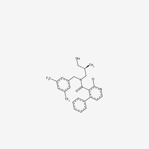 C[C@H](CO)CN(Cc1cc(C(F)(F)F)cc(C(F)(F)F)c1)C(=O)c1c(-c2ccccc2)ccnc1Cl